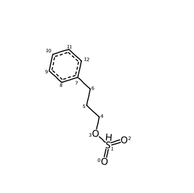 O=[SH](=O)OCCCc1ccccc1